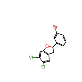 Clc1cc2c(cc1Cl)OC(c1cccc(Br)c1)C2